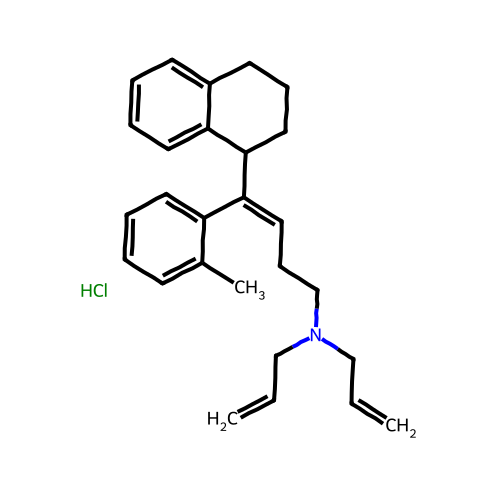 C=CCN(CC=C)CCC=C(c1ccccc1C)C1CCCc2ccccc21.Cl